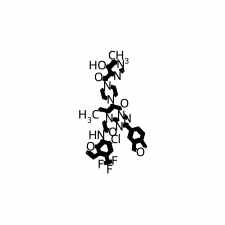 CCc1c(N2CCN(C(=O)c3ncnc(C)c3O)CC2)c(=O)n2nc(-c3ccc4c(c3)COC4)nc2n1CC(=O)Nc1c(Cl)cc(C(F)(F)F)c2ccoc12